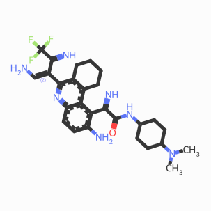 CN(C)C1CCC(NC(=O)C(=N)c2c(N)ccc3nc(/C(=C/N)C(=N)C(F)(F)F)c4c(c23)CCCC4)CC1